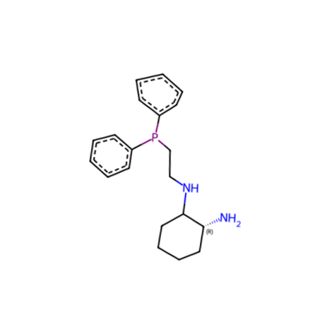 N[C@@H]1CCCCC1NCCP(c1ccccc1)c1ccccc1